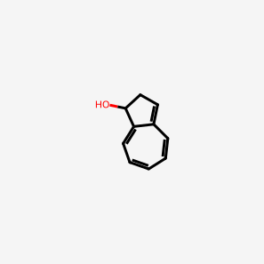 OC1CC=C2C=CC=CC=C21